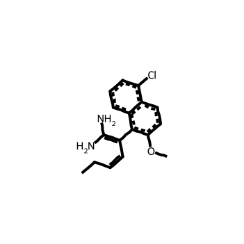 CC/C=C\C(=C(N)N)c1c(OC)ccc2c(Cl)cccc12